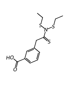 CCSN(SCC)C(=S)Cc1cccc(C(=O)O)c1